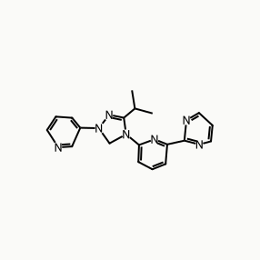 CC(C)C1=NN(c2cccnc2)CN1c1cccc(-c2ncccn2)n1